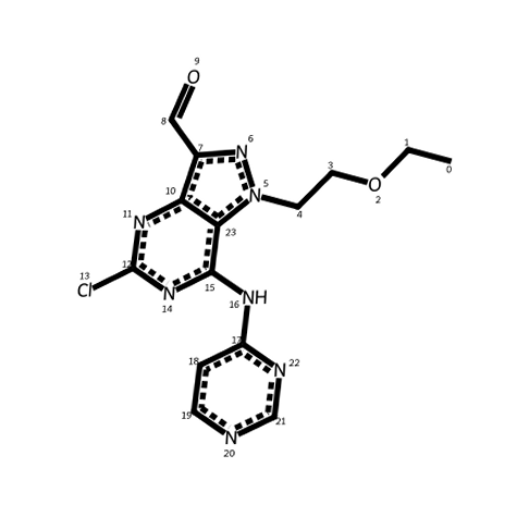 CCOCCn1nc(C=O)c2nc(Cl)nc(Nc3ccncn3)c21